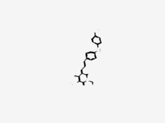 COc1ccc(Nc2ccc(/C=C/C=C3\C(=O)N(CC(=O)O)C(=O)C(C#N)=C3C)cc2)cc1